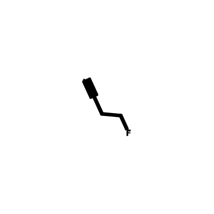 [C]#CCCF